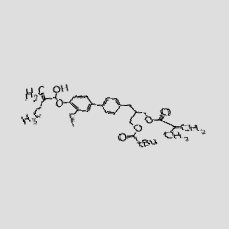 C=C(C)C(=O)OCC(COC(=O)C(C)(C)C)Cc1ccc(-c2ccc(OC(O)C(=C)C)c(F)c2)cc1